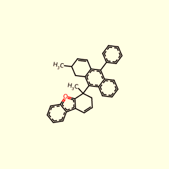 CC1C=Cc2c(c(C3(C)CC=Cc4c3oc3ccccc43)c3ccccc3c2-c2ccccc2)C1